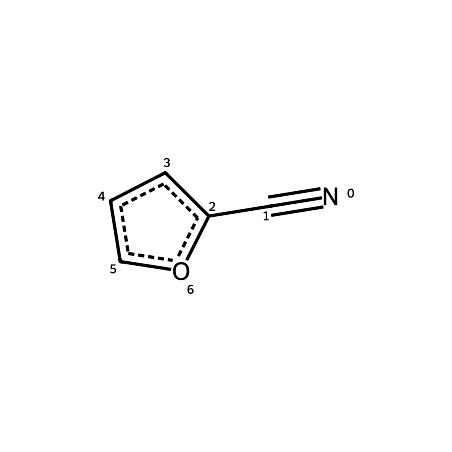 N#Cc1ccco1